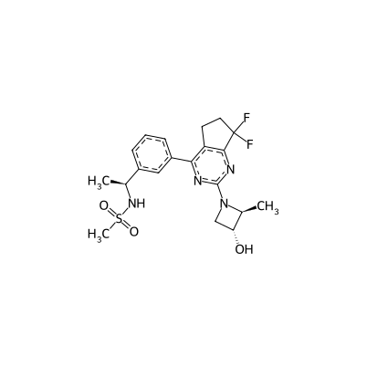 C[C@H](NS(C)(=O)=O)c1cccc(-c2nc(N3C[C@@H](O)[C@@H]3C)nc3c2CCC3(F)F)c1